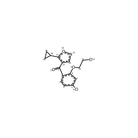 O=C(c1ccc(Cl)cc1OCCCl)c1cnoc1C1CC1